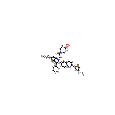 Cc1csc(-c2ccc3cc(-c4c(C5CCCCC5)c5sc(C(=O)O)cc5n4CC(=O)N4CCC(O)CC4)ccc3n2)c1